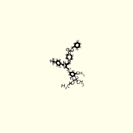 CCOC(=O)C(C)Oc1ccc(SCc2sc(-c3ccc(C(F)(F)F)cc3)nc2CN2CCN(C(=O)OCc3ccccc3)CC2)cc1C